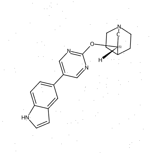 c1cc2cc(-c3cnc(O[C@@H]4CN5CCC4CC5)nc3)ccc2[nH]1